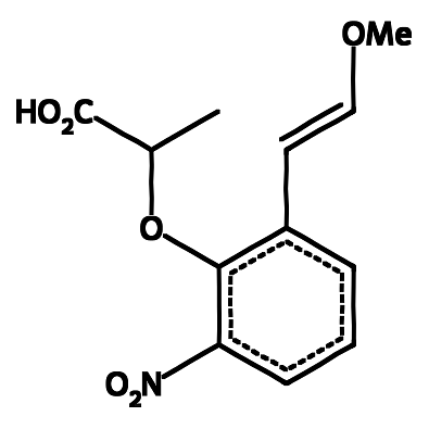 COC=Cc1cccc([N+](=O)[O-])c1OC(C)C(=O)O